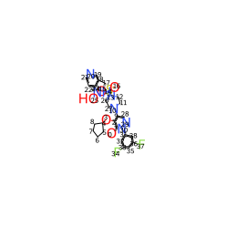 O=c1c(OC2CCCC2)c(N2CCN(S(=O)(=O)Cc3cnccc3NO)CC2)cnn1-c1cc(F)cc(F)c1